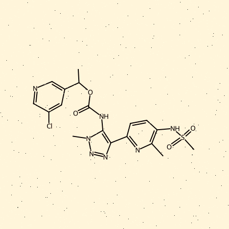 Cc1nc(-c2nnn(C)c2NC(=O)OC(C)c2cncc(Cl)c2)ccc1NS(C)(=O)=O